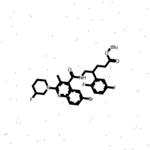 Cc1c(N2CCCC(F)C2)nc2ccc(Br)cc2c1C(=O)NCC(CCC(=O)OC(C)(C)C)c1cc(F)ccc1F